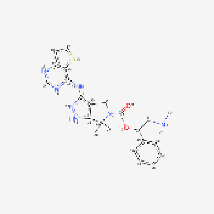 CN(C)CC(OC(=O)N1Cc2c(Nc3ncnc4ccsc34)n[nH]c2C1(C)C)c1ccccc1